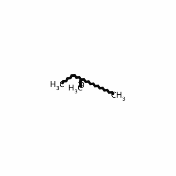 CCCCC/C=C\CCC(=COC)CCCCCCCCCCCCCC